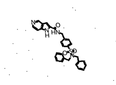 O=C(NCc1ccc(S(=O)(=O)N(Cc2ccccc2)Cc2ccccc2)cc1)c1cc2cnccc2[nH]1